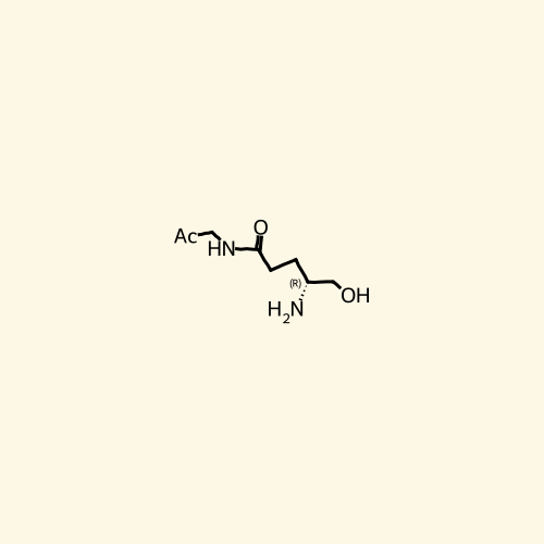 CC(=O)CNC(=O)CC[C@@H](N)CO